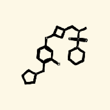 CN(CC1CC(Oc2ccc(CN3CCCC3)c(Cl)c2)C1)S(=O)(=O)N1CCCCC1